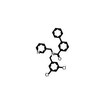 O=C(c1cccc(-c2ccccc2)c1)N(Cc1cccnc1)Cc1cc(Cl)cc(Cl)c1